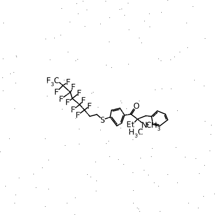 CCC(Cc1ccccc1)(C(=O)c1ccc(SCCC(F)(F)C(F)(F)C(F)(F)C(F)(F)C(F)(F)C(F)(F)F)cc1)N(C)C